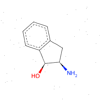 N[C@@H]1Cc2ccccc2[C@@H]1O